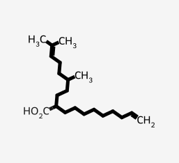 C=CCCCCCCCC(CCC(C)CCC=C(C)C)C(=O)O